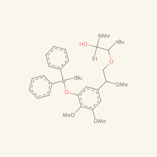 CCCCC(OCC(OC)c1cc(OC)c(OC)c(O[Si](c2ccccc2)(c2ccccc2)C(C)(C)C)c1)C(O)(CC)NC